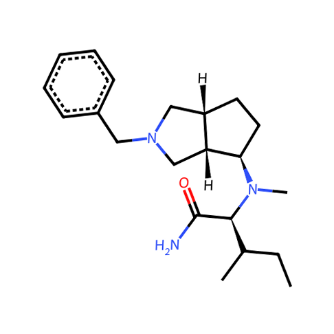 CCC(C)[C@@H](C(N)=O)N(C)[C@@H]1CC[C@H]2CN(Cc3ccccc3)C[C@H]21